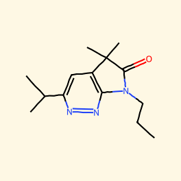 CCCN1C(=O)C(C)(C)c2cc(C(C)C)nnc21